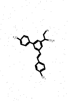 CC(C)CC(C(=O)O)c1cc(/C=C/c2ccc(C(F)(F)F)cc2)cc(-c2ccc(C(F)(F)F)cc2)c1